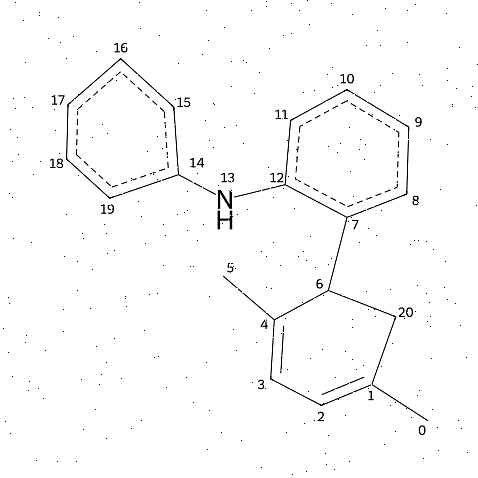 CC1=CC=C(C)C(c2ccccc2Nc2ccccc2)C1